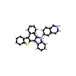 c1ccc2c(c1)sc1c2c2ccccc2c2c1c1ccccc1n2-c1ccc2cnccc2c1